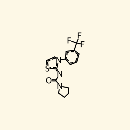 O=C(/N=c1\sccn1-c1cccc(C(F)(F)F)c1)N1CCCC1